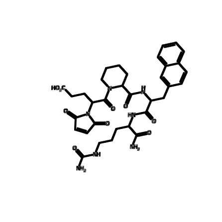 NC(=O)NCCCC(NC(=O)C(Cc1ccc2ccccc2c1)NC(=O)C1CCCCN1C(=O)C(CCC(=O)O)N1C(=O)C=CC1=O)C(N)=O